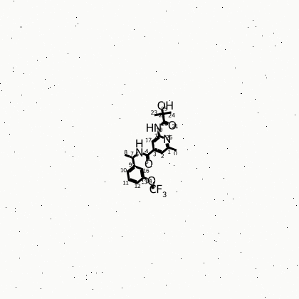 Cc1cc(C(=O)NC(C)c2cccc(OC(F)(F)F)c2)cc(NC(=O)C(C)(C)O)n1